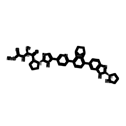 COC(=O)N[C@H](C(=O)N1CCC[C@H]1c1ncc(-c2ccc(-c3ccc(-c4ccc5nc([C@@H]6CCCN6)[nH]c5c4)c4c3C3CCC4O3)nc2)[nH]1)C(C)C